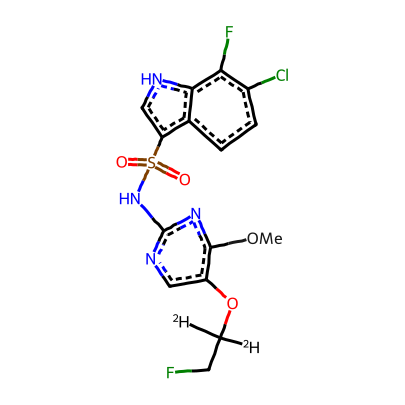 [2H]C([2H])(CF)Oc1cnc(NS(=O)(=O)c2c[nH]c3c(F)c(Cl)ccc23)nc1OC